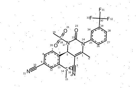 CC1=C(C#N)[C@@H](c2ccc(C#N)cc2[S+](C)[O-])N(S(C)(=O)=O)C(=O)N1c1cccc(C(F)(F)F)c1